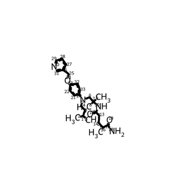 CC(C)CCN(CC(C)(C)NC(=O)[CH]CC(C)C(N)=O)c1ccc(OCc2cccnc2)cc1